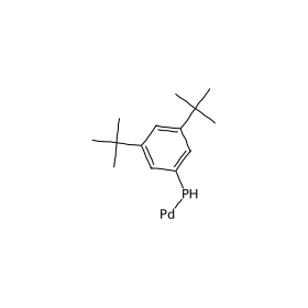 CC(C)(C)c1cc([PH][Pd])cc(C(C)(C)C)c1